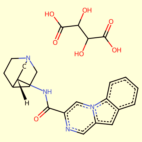 O=C(N[C@H]1CN2CCC1CC2)c1cn2c(cn1)cc1ccccc12.O=C(O)C(O)C(O)C(=O)O